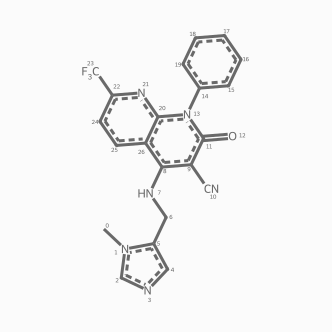 Cn1cncc1CNc1c(C#N)c(=O)n(-c2ccccc2)c2nc(C(F)(F)F)ccc12